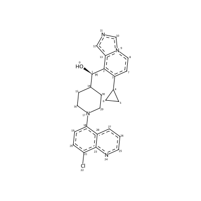 O[C@@H](c1c(C2CC2)ccn2cncc12)C1CCN(c2ccc(Cl)c3ncccc23)CC1